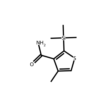 Cc1csc([Si](C)(C)C)c1C(N)=O